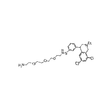 CCN1Cc2c(Cl)cc(Cl)cc2C(c2cccc(SNCCOCCOCCOCCN)c2)C1